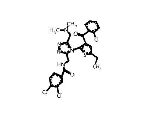 CCc1cc(C(=O)c2ccccc2Cl)c(-n2c(CNC(=O)c3ccc(Cl)c(Cl)c3)nnc2CN(C)C)s1